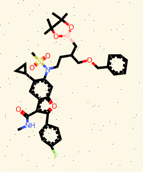 CNC(=O)c1c(-c2ccc(F)cc2)oc2cc(N(CCC(COCc3ccccc3)CB3OC(C)(C)C(C)(C)O3)S(C)(=O)=O)c(C3CC3)cc12